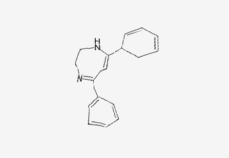 C1=CCC(C2=CC(c3ccccc3)=NCCN2)C=C1